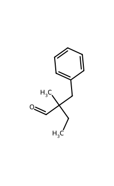 CCC(C)(C=O)Cc1ccccc1